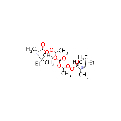 CCC(C)(C)/C=C(/C)C(=O)OOC(C)OC(=O)OC(C)OOC(=O)/C(C)=C\C(C)(C)CC